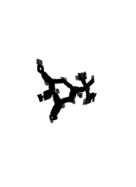 CCCC(C)(CC)N1CC(=O)NC(=O)C1